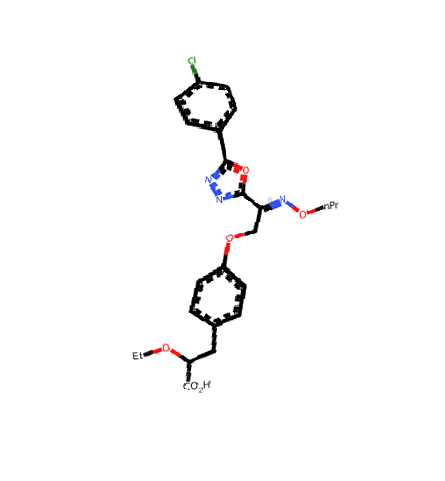 CCCO/N=C(\COc1ccc(CC(OCC)C(=O)O)cc1)c1nnc(-c2ccc(Cl)cc2)o1